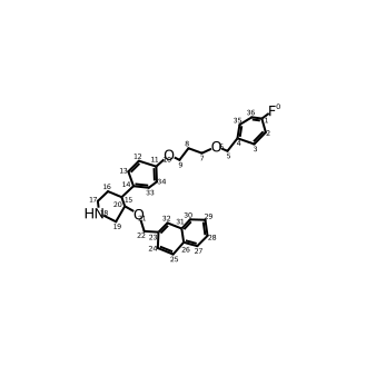 Fc1ccc(COCCCOc2ccc(C3CCNCC3OCc3ccc4ccccc4c3)cc2)cc1